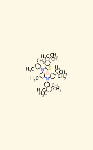 Cc1cc(C)cc(N2c3cc(C)cc4c3B(c3cc(C(C)(C)C)ccc3N4c3ccc4c(c3)C(C)(C)CCC4(C)C)c3sc4cc(C(C)(C)C)ccc4c32)c1